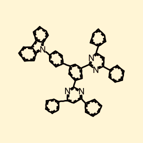 c1ccc(-c2cc(-c3ccccc3)nc(-c3cc(-c4ccc(-n5c6ccccc6c6ccccc65)cc4)cc(-c4nc(-c5ccccc5)cc(-c5ccccc5)n4)c3)n2)cc1